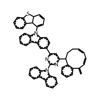 C=C1/C=C\C=C/CCC(c2cc(-c3ccc4c(c3)c3ccccc3n4C3=CC=CC4Sc5ccccc5C34)nc(-n3c4ccccc4c4ccccc43)n2)c2ccccc21